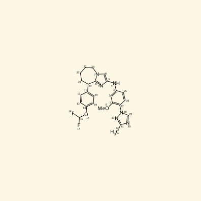 COc1cc(Nc2cn3c(n2)C(c2ccc(OC(F)F)cc2)CCCC3)ccc1-n1cnc(C)n1